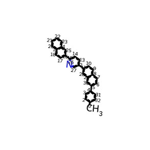 Cc1ccc(-c2ccc3ccc(-c4ccc(-c5ccc6ccccc6c5)nc4)cc3c2)cc1